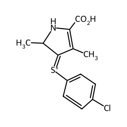 CC1=C(C(=O)O)NC(C)C1=[S+]c1ccc(Cl)cc1